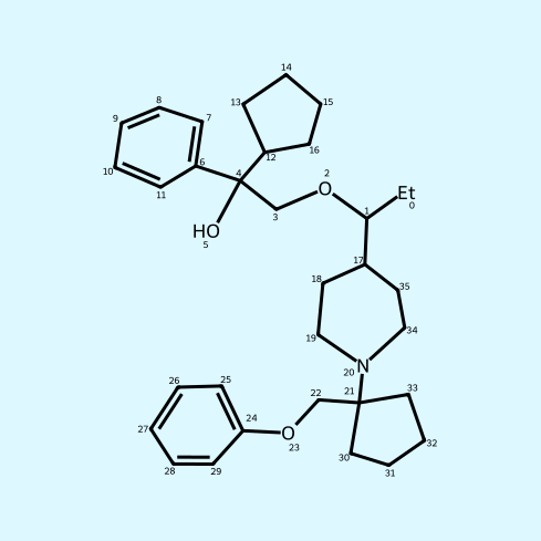 CCC(OCC(O)(c1ccccc1)C1CCCC1)C1CCN(C2(COc3ccccc3)CCCC2)CC1